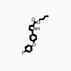 CCCCOC(=O)c1ccc(-c2ccc(Oc3ccc(F)cc3)cc2)[nH]1